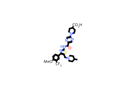 COc1ccc(-c2nc(NC(=O)c3cnc(N4CCC(C(=O)O)CC4)cn3)sc2CN2CCC(C)CC2)cc1C(F)(F)F